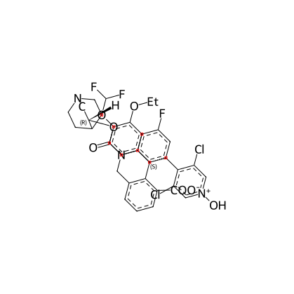 CCOc1cc([C@H](Cc2c(Cl)c[n+](O)cc2Cl)c2c(CN(C(=O)O[C@H]3CN4CCC3CC4)c3cccc(F)c3)cccc2C(=O)[O-])ccc1OC(F)F